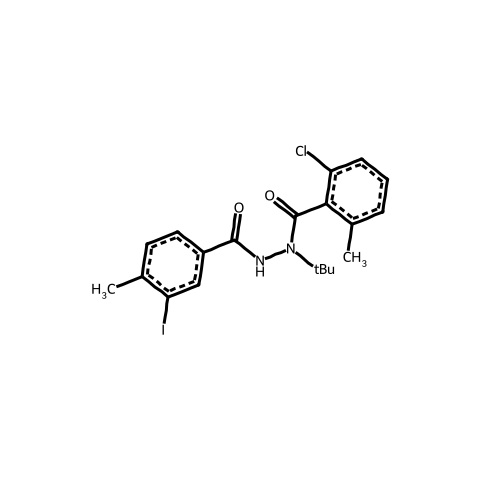 Cc1ccc(C(=O)NN(C(=O)c2c(C)cccc2Cl)C(C)(C)C)cc1I